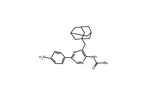 CCC(C)C(=O)Nc1ncc(-c2ccc(N)cc2)nc1CC12CC3CC(CC(C3)C1)C2